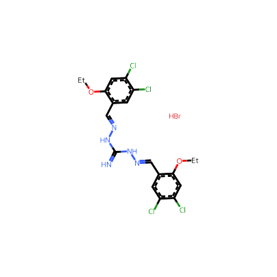 Br.CCOc1cc(Cl)c(Cl)cc1C=NNC(=N)NN=Cc1cc(Cl)c(Cl)cc1OCC